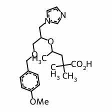 COc1ccc(COCC(Cn2ccnc2)OC(C)CC(C)(C)C(=O)O)cc1